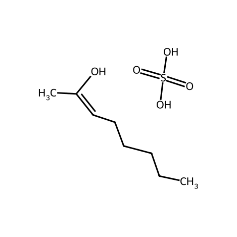 CCCCCC=C(C)O.O=S(=O)(O)O